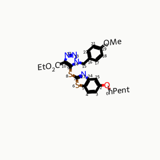 CCCCCOc1ccc2sc(Sc3c(C(=O)OCC)nnn3Cc3ccc(OC)cc3)nc2c1